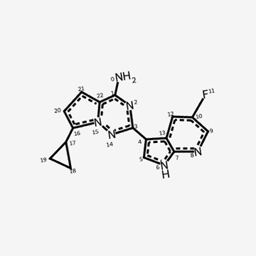 Nc1nc(-c2c[nH]c3ncc(F)cc23)nn2c(C3CC3)ccc12